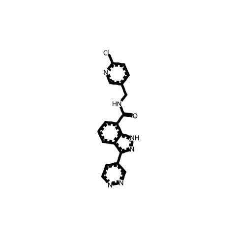 O=C(NCc1ccc(Cl)nc1)c1cccc2c(-c3ccnnc3)n[nH]c12